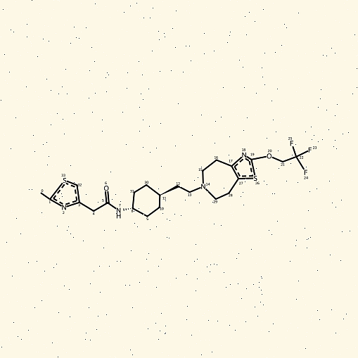 Cc1nc(CC(=O)N[C@H]2CC[C@H](CCN3CCc4nc(OCC(F)(F)F)sc4CC3)CC2)cs1